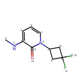 CNc1cccn(C2CC(F)(F)C2)c1=O